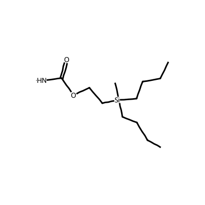 CCCC[Si](C)(CCCC)CCOC([NH])=O